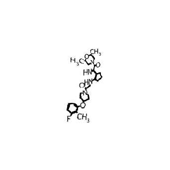 Cc1c(F)cccc1OC1CCN(C(=O)CNC2=C(C(=N)C(=O)N3C[C@@H](C)O[C@@H](C)C3)CCC2)CC1